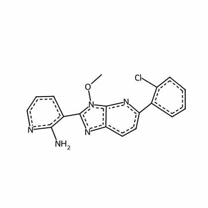 COn1c(-c2cccnc2N)nc2ccc(-c3ccccc3Cl)nc21